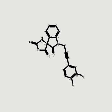 O=C1NC(=O)[C@@]2(N1)C(=O)N(CC#Cc1ccc(Cl)c(Cl)c1)c1ccccc12